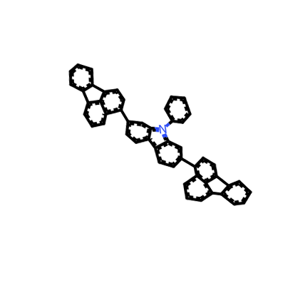 c1ccc(-n2c3cc(-c4ccc5c6c(cccc46)-c4ccccc4-5)ccc3c3ccc(-c4ccc5c6c(cccc46)-c4ccccc4-5)cc32)cc1